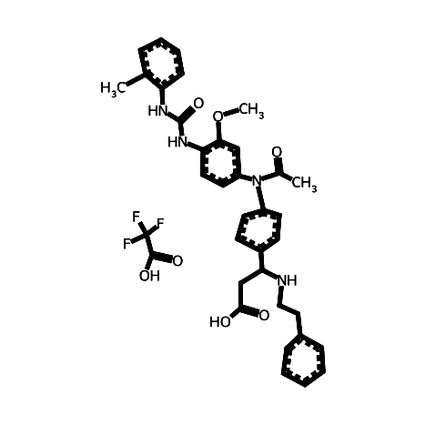 COc1cc(N(C(C)=O)c2ccc(C(CC(=O)O)NCCc3ccccc3)cc2)ccc1NC(=O)Nc1ccccc1C.O=C(O)C(F)(F)F